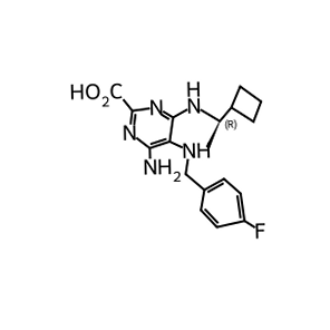 C[C@@H](Nc1nc(C(=O)O)nc(N)c1NCc1ccc(F)cc1)C1CCC1